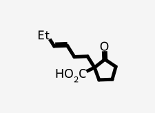 CCC=CCCC1(C(=O)O)CCCC1=O